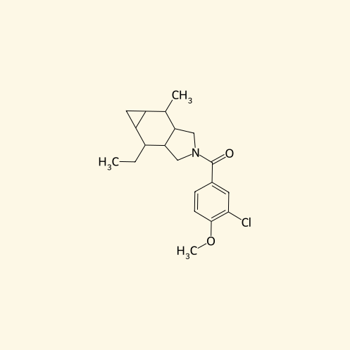 CCC1C2CC2C(C)C2CN(C(=O)c3ccc(OC)c(Cl)c3)CC21